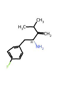 C=C(C(C)C)[C@H](N)Cc1ccc(F)cc1